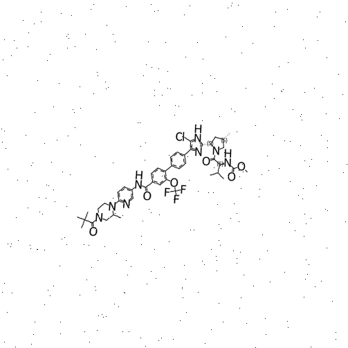 COC(=O)N[C@H](C(=O)N1C[C@@H](C)C[C@H]1c1nc(-c2ccc(-c3ccc(C(=O)Nc4ccc(N5CCN(C(=O)C(C)(C)C)CC5C)nc4)cc3OC(F)(F)F)cc2)c(Cl)[nH]1)C(C)C